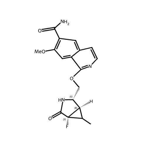 COc1cc2c(OC[C@H]3NC(=O)[C@]4(F)C(C)[C@H]34)nccc2cc1C(N)=O